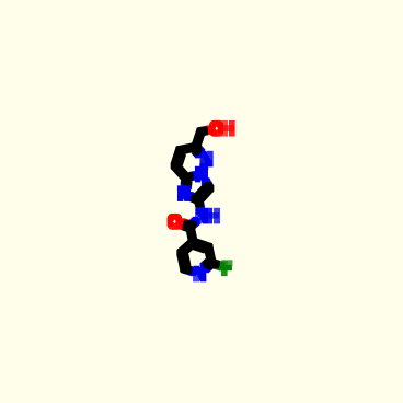 O=C(Nc1cn2nc(CO)ccc2n1)c1ccnc(F)c1